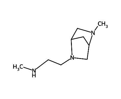 CNCCN1CC2CC1CN2C